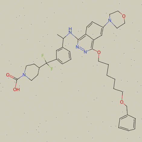 CC(Nc1nnc(OCCCCCCOCc2ccccc2)c2cc(N3CCOCC3)ccc12)c1cccc(C(F)(F)C2CCN(C(=O)O)CC2)c1